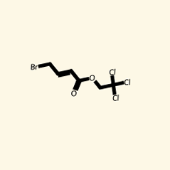 O=C(C=CCBr)OCC(Cl)(Cl)Cl